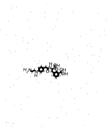 NCCNc1ccc(CC(=O)N[C@H]2Cc3cccc(C(O)O)c3OB2O)cc1